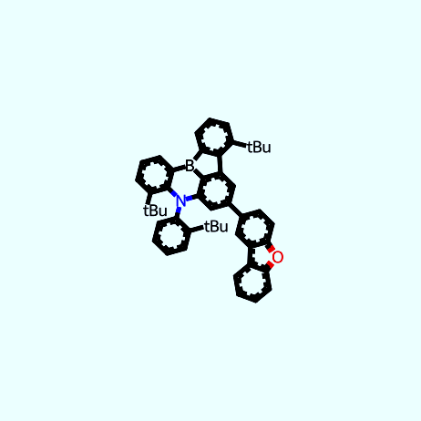 CC(C)(C)c1ccccc1N1c2cc(-c3ccc4oc5ccccc5c4c3)cc3c2B(c2cccc(C(C)(C)C)c2-3)c2cccc(C(C)(C)C)c21